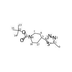 Cc1nnc(C2CCN(C(=O)OC(C)(C)C)CC2)s1